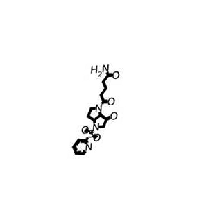 NC(=O)CCCC(=O)N1CCC2C1C(=O)CN2S(=O)(=O)c1ccccn1